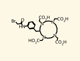 O=C(O)CN1CCCN(CC(=O)O)CCN(CC(=O)O)CC(Cc2cccc(NC(=O)CBr)c2)CN(CC(=O)O)CC1